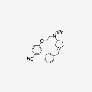 CCCN(CCOc1ccc(C#N)cc1)C1CCN(Cc2ccccc2)C1